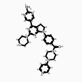 Nc1ncc(-c2nc(N3CCOCC3)nc3c2CCN3c2ccc(C(=O)N3CCN(c4ccncc4)CC3)cc2)cn1